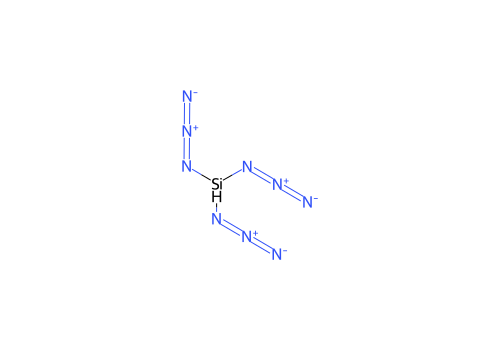 [N-]=[N+]=N[SiH](N=[N+]=[N-])N=[N+]=[N-]